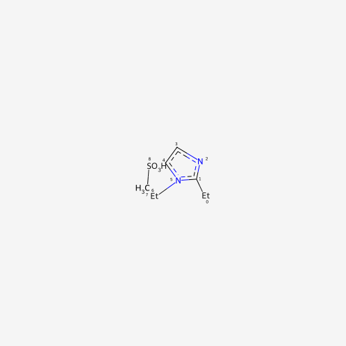 CCc1nccn1CC.CS(=O)(=O)O